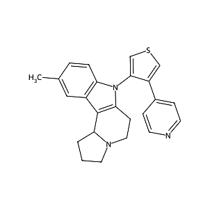 Cc1ccc2c(c1)c1c(n2-c2cscc2-c2ccncc2)CCN2CCCC12